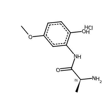 COc1ccc(O)c(NC(=O)[C@H](C)N)c1.Cl